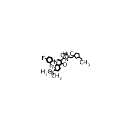 CCC1CCC(C)(CCNC(=O)c2cn(-c3ccc(F)cc3F)c3nc(N(C)C)ccc3c2=O)C1